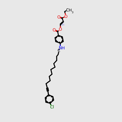 CCOC(=O)/C=C/OC(=O)c1ccc(NCCCCCCCCCCCC#Cc2ccc(Cl)cc2)cc1